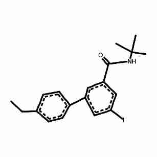 CCc1ccc(-c2cc(I)cc(C(=O)NC(C)(C)C)c2)cc1